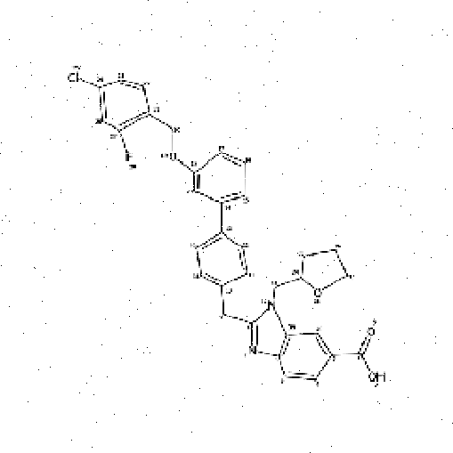 O=C(O)c1ccc2nc(Cc3ccc(-c4cccc(OCc5ccc(Cl)cc5F)c4)cc3)n(CC3CCCO3)c2c1